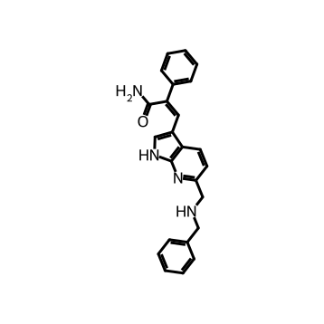 NC(=O)C(=Cc1c[nH]c2nc(CNCc3ccccc3)ccc12)c1ccccc1